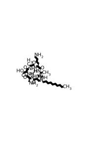 CCCCCCCCCCNCCC(=O)N[C@@H](CN)C(=O)N[C@H](C(=O)N[C@@H](C)C(=O)N[C@@H](CCCCN)C(=O)N[C@@H](C)B(O)O)[C@@H](C)O